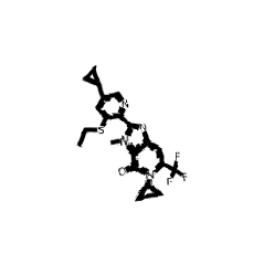 CCSc1cc(C2CC2)cnc1-c1nc2cc(C(F)(F)F)n(C3CC3)c(=O)c2n1C